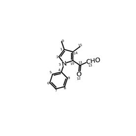 Cc1cn(-c2ccccc2)c(C(=O)C=O)c1C